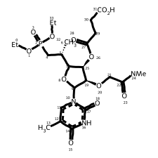 CCOP(=O)(C[C@H](C)C1OC(n2cc(C)c(=O)[nH]c2=O)[C@H](OCC(=O)NC)[C@@H]1OC(=O)CCC(=O)O)OCC